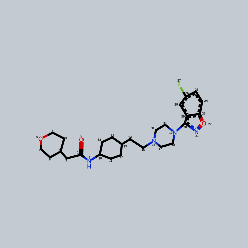 O=C(CC1CCOCC1)NC1CCC(CCN2CCN(c3noc4ccc(F)cc34)CC2)CC1